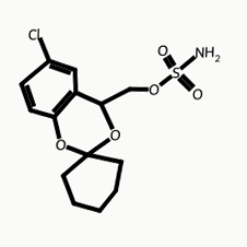 NS(=O)(=O)OCC1OC2(CCCCC2)Oc2ccc(Cl)cc21